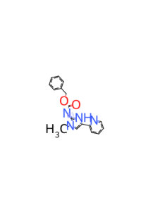 Cn1cc(-c2ccccn2)[nH]/c1=N\C(=O)OCc1ccccc1